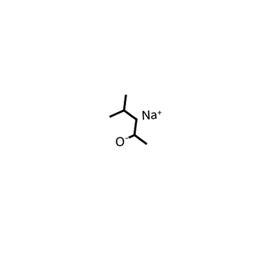 CC(C)CC(C)[O-].[Na+]